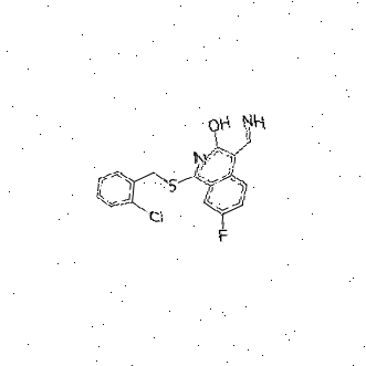 N=Cc1c(O)nc(SCc2ccccc2Cl)c2cc(F)ccc12